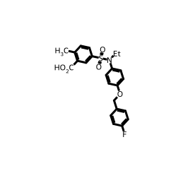 CCN(c1ccc(OCc2ccc(F)cc2)cc1)S(=O)(=O)c1ccc(C)c(C(=O)O)c1